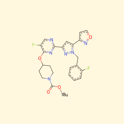 CC(C)(C)OC(=O)N1CCC(Oc2nc(-c3cc(-c4ccon4)n(Cc4ccccc4F)n3)ncc2F)CC1